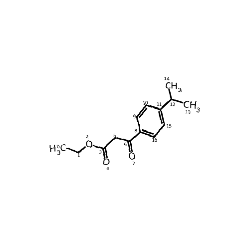 CCOC(=O)CC(=O)c1ccc(C(C)C)cc1